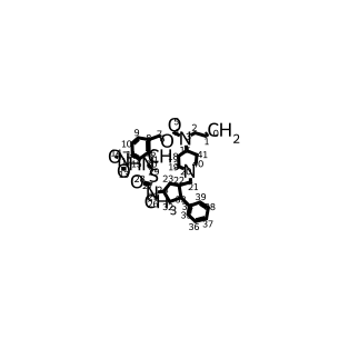 C=CCN(C(=O)OCc1ccc([N+](=O)[O-])cc1)C1CCN(CC2CC(N(C)C(=O)SNC)CC2c2ccccc2)CC1